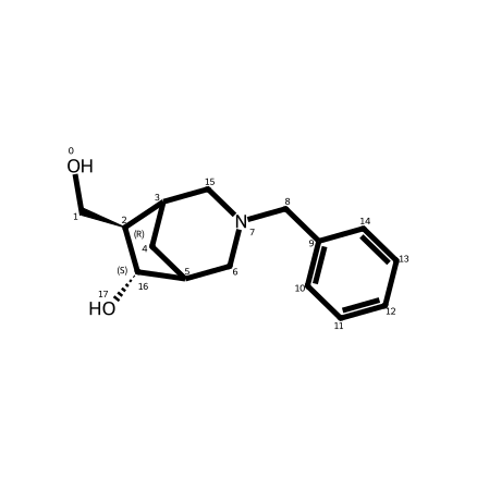 OC[C@H]1C2CC(CN(Cc3ccccc3)C2)[C@@H]1O